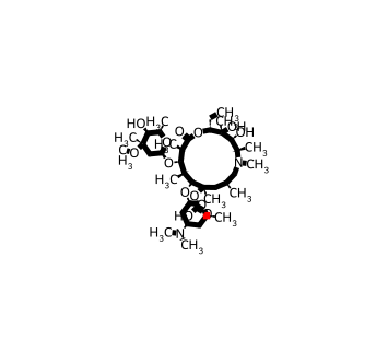 CC[C@H]1OC(=O)[C@H](C)[C@@H](O[C@H]2C[C@@](C)(OC)[C@@H](O)[C@H](C)O2)[C@H](C)[C@@H](O[C@H]2C[C@@H](N(C)C)C[C@@H](C)O2)[C@](C)(OC(=O)O)C[C@@H](C)CN(C)[C@H](C)[C@@H](O)[C@]1(C)O